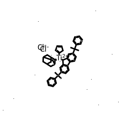 CC(C)(c1ccccc1)c1ccc2c(c1)[CH]([Ti+2]([C]1=CC=CC1)=[C]1C3CC4CC(C3)CC1C4)c1cc(C(C)(C)c3ccccc3)ccc1-2.[Cl-].[Cl-]